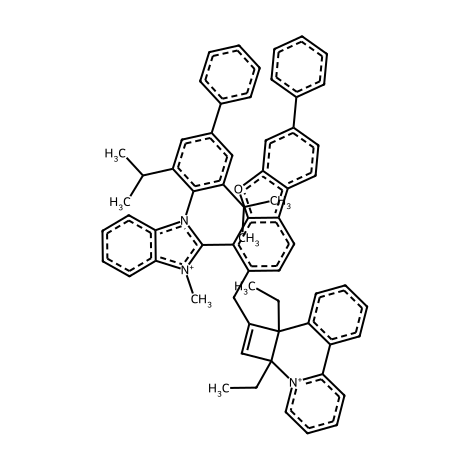 CCC12C(Cc3ccc4c(oc5cc(-c6ccccc6)ccc54)c3-c3n(-c4c(C(C)C)cc(-c5ccccc5)cc4C(C)C)c4ccccc4[n+]3C)=CC1(CC)[n+]1ccccc1-c1ccccc12